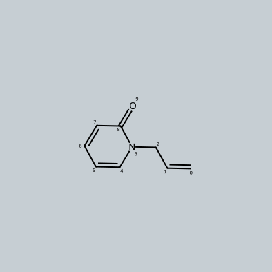 C=CCn1ccccc1=O